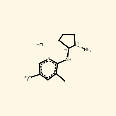 Cc1cc(C(F)(F)F)cnc1N[C@H]1CCC[C@@H]1N.Cl